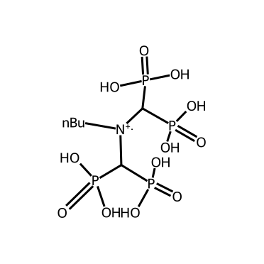 CCCC[N+](C(P(=O)(O)O)P(=O)(O)O)C(P(=O)(O)O)P(=O)(O)O